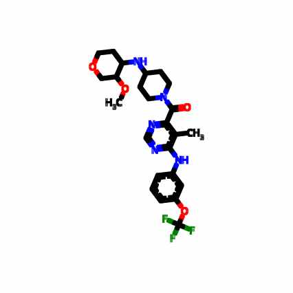 COC1COCCC1NC1CCN(C(=O)c2ncnc(Nc3cccc(OC(F)(F)F)c3)c2C)CC1